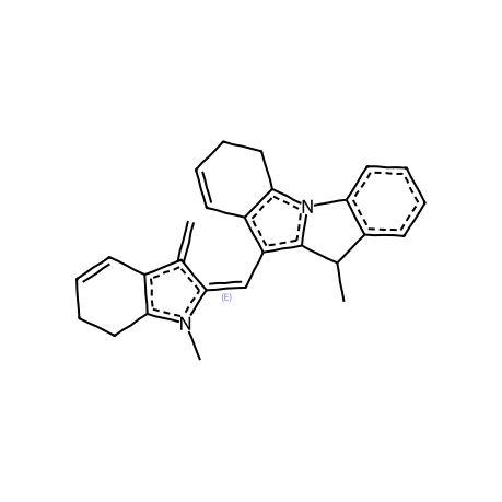 C=c1c2c(n(C)/c1=C/c1c3c(n4c1C(C)c1ccccc1-4)CCC=C3)CCC=C2